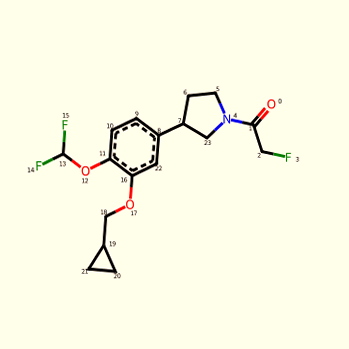 O=C(CF)N1CCC(c2ccc(OC(F)F)c(OCC3CC3)c2)C1